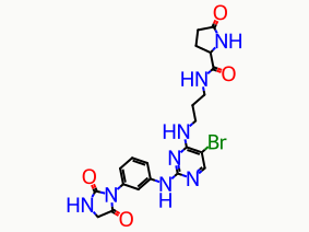 O=C1CCC(C(=O)NCCCNc2nc(Nc3cccc(N4C(=O)CNC4=O)c3)ncc2Br)N1